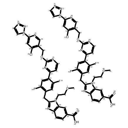 COCCn1c(Cc2cc(F)c(-c3ccnc(OCc4cnc(-n5ccnn5)cc4Cl)n3)cc2F)nc2ccc(C(=O)O)cc21.COCCn1c(Cc2cc(F)c(-c3ccnc(OCc4cnc(-n5ccnn5)cc4Cl)n3)cc2F)nc2ccc(C(=O)O)cc21